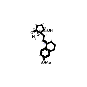 COc1ccc2c(c1)CCC/C2=C\C[C@@]1(C)C(=O)CC[C@@H]1O